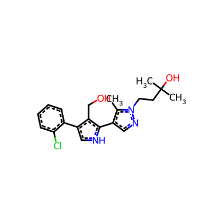 Cc1c(-c2[nH]cc(-c3ccccc3Cl)c2CO)cnn1CCC(C)(C)O